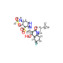 CN(c1ccc2c(c1)S(=O)(=O)C=C(c1c(O)c3cc(F)ccc3n(CCC3CC3)c1=O)N2)S(C)(=O)=O